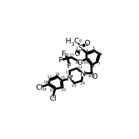 CS(=O)(=O)c1cccc(C(=O)N2CCN(c3ccc(Cl)c(Cl)c3)CC2)c1OCC(F)(F)F